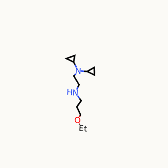 CCOCCCNCCN(C1CC1)C1CC1